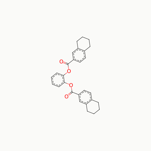 O=C(Oc1ccccc1OC(=O)c1ccc2c(c1)CCCC2)c1ccc2c(c1)CCCC2